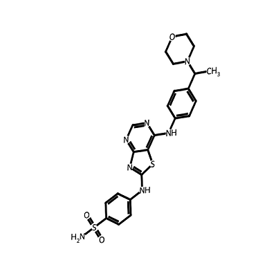 CC(c1ccc(Nc2ncnc3nc(Nc4ccc(S(N)(=O)=O)cc4)sc23)cc1)N1CCOCC1